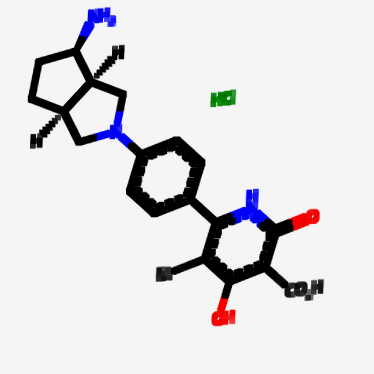 CCc1c(-c2ccc(N3C[C@H]4CC[C@@H](N)[C@H]4C3)cc2)[nH]c(=O)c(C(=O)O)c1O.Cl